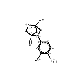 CCc1cc(N2C[C@@H]3C[C@H]2CN3)ccc1N